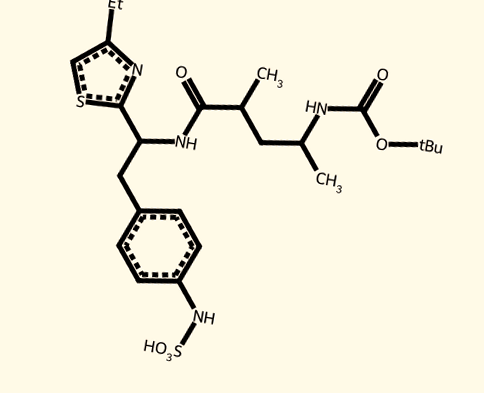 CCc1csc(C(Cc2ccc(NS(=O)(=O)O)cc2)NC(=O)C(C)CC(C)NC(=O)OC(C)(C)C)n1